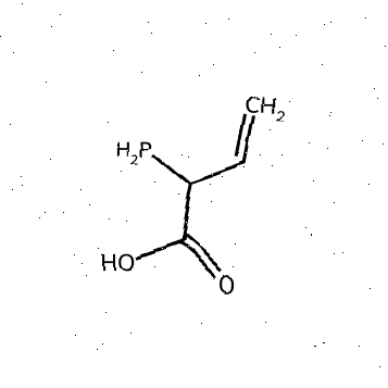 C=CC(P)C(=O)O